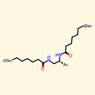 CCCCCCCCCCCCCCCC(=O)NC[C@@H](NC(=O)CCCCCCCCCCCCCCC)C(C)=O